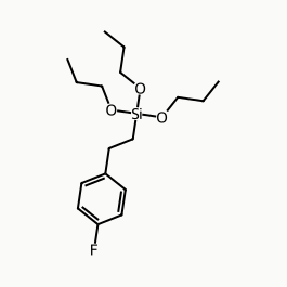 CCCO[Si](CCc1ccc(F)cc1)(OCCC)OCCC